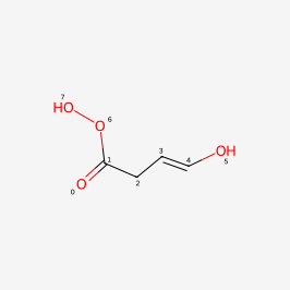 O=C(CC=CO)OO